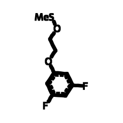 CSOCCOc1cc(F)cc(F)c1